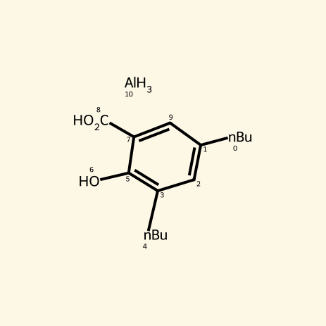 CCCCc1cc(CCCC)c(O)c(C(=O)O)c1.[AlH3]